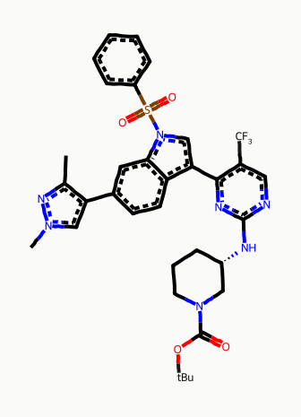 Cc1nn(C)cc1-c1ccc2c(-c3nc(N[C@H]4CCCN(C(=O)OC(C)(C)C)C4)ncc3C(F)(F)F)cn(S(=O)(=O)c3ccccc3)c2c1